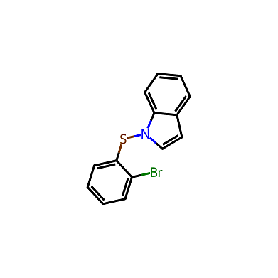 Brc1ccccc1Sn1ccc2ccccc21